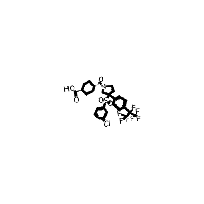 O=C(O)[C@H]1CC[C@H](C(=O)N2CCC(c3ccc(C(F)(C(F)(F)F)C(F)(F)F)cc3)(S(=O)(=O)c3cccc(Cl)c3)C2)CC1